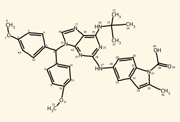 COc1ccc(C(c2ccc(OC)cc2)n2cnc3c(NC(C)(C)C)nc(Nc4ccc5c(c4)cc(C)n5C(=O)O)nc32)cc1